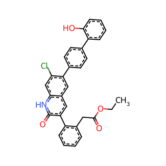 CCOC(=O)Cc1ccccc1-c1cc2cc(-c3ccc(-c4ccccc4O)cc3)c(Cl)cc2[nH]c1=O